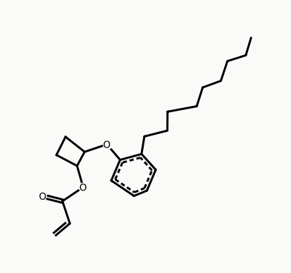 C=CC(=O)OC1CCC1Oc1ccccc1CCCCCCCCC